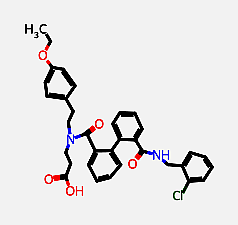 CCOc1ccc(CCN(CCC(=O)O)C(=O)c2ccccc2-c2ccccc2C(=O)NCc2ccccc2Cl)cc1